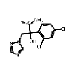 C[C@@H](N)C(O)(Cn1cncn1)c1ccc(Cl)cc1Cl